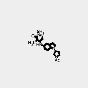 CC(=O)N1CC[C@H](n2ccc3cc(Nc4cnn(C)c(=O)c4C)ccc32)C1